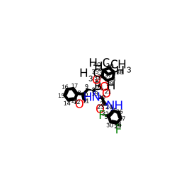 CC1(C)[C@@H]2C[C@H]3OB([C@H](Cc4coc5ccccc45)NC(=O)C(=O)Nc4ccc(F)cc4F)O[C@@]3(C)[C@H]1C2